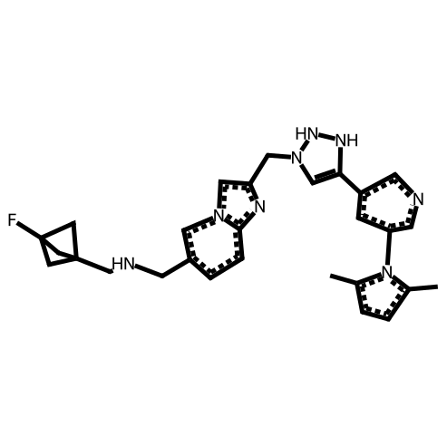 Cc1ccc(C)n1-c1cncc(C2=CN(Cc3cn4cc(CNCC56CC(F)(C5)C6)ccc4n3)NN2)c1